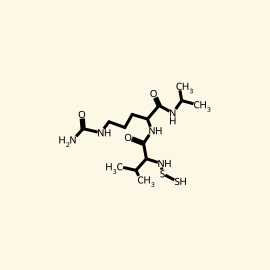 CC(C)NC(=O)C(CCCNC(N)=O)NC(=O)C(NSS)C(C)C